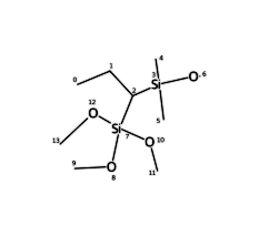 CCC([Si](C)(C)[O])[Si](OC)(OC)OC